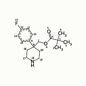 CC(C)(C)C(=O)OCC1(c2ccc(F)cc2)CCNCC1